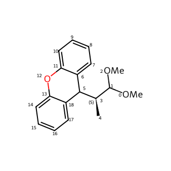 COC(OC)[C@@H](C)C1c2ccccc2Oc2ccccc21